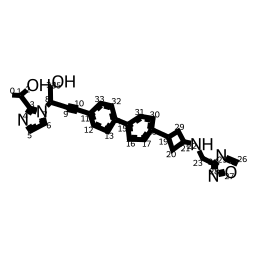 CC(O)c1nccn1C(C#Cc1ccc(-c2ccc(C3CC(NCc4ncon4)C3)cc2)cc1)CO